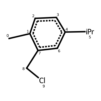 Cc1ccc(C(C)C)cc1CCl